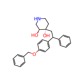 O[C@H]1CNCC[C@@]1(O)CC(c1ccccc1)c1ccc(OCc2ccccc2)cc1